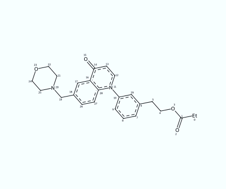 CCC(=O)OCCc1cccc(-n2ccc(=O)c3cc(CN4CCOCC4)ccc32)c1